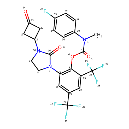 CN(C(=O)Oc1c(N2CCN(C3CC(=O)C3)C2=O)cc(C(F)(F)F)cc1C(F)(F)F)c1ccc(F)cc1